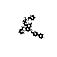 CC1Cc2c(OCc3ccc(-c4ccccc4)cn3)ccc3c2c(c(CC(C)(C)C(=O)OCc2ccccn2)n3Cc2ccccn2)S1